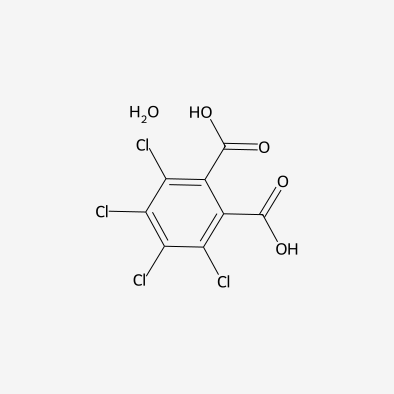 O.O=C(O)c1c(Cl)c(Cl)c(Cl)c(Cl)c1C(=O)O